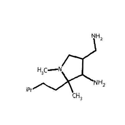 CC(C)CCC1(C)C(N)C(CN)CN1C